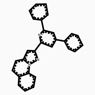 c1ccc(-c2cc(-c3ccccc3)nc(-c3cc4ccc5ccccc5n4n3)c2)cc1